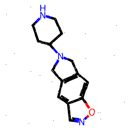 c1noc2cc3c(cc12)CN(C1CCNCC1)C3